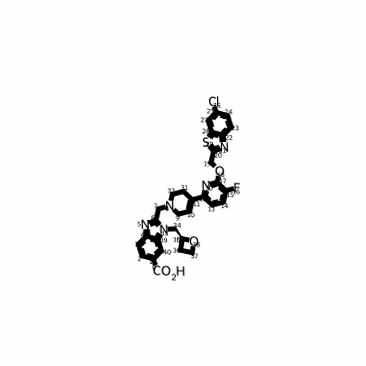 O=C(O)c1ccc2nc(CN3CC=C(c4ccc(F)c(OCc5nc6ccc(Cl)cc6s5)n4)CC3)n(C[C@@H]3CCO3)c2c1